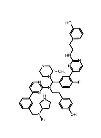 CCN(Cc1cccc(-c2ccnc(N(CCc3ccc(O)cc3)C(c3ccc(F)c(-c4ccnc(NCCc5cccc(O)c5)n4)c3)N3CCNC[C@@H]3C)n2)c1)C1CCNC1